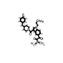 COCCn1cc(C(=O)N2CCC(Cc3ccc(F)cc3)CC2)c2cc(C(=O)C(=O)N(C)C)ccc21